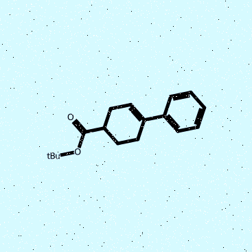 CC(C)(C)OC(=O)C1CC=C(c2ccccc2)CC1